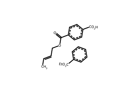 CC=CCOC(=O)c1ccc(C(=O)O)cc1.CCOC(=O)c1ccccc1